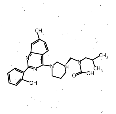 Cc1ccc2c(N3CCC[C@H](CN(CC(C)C)C(=O)O)C3)nc(-c3ccccc3O)nc2c1